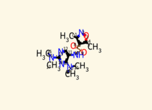 Cc1noc(C)c1S(=O)(=O)Nc1cnc(N(C)C)nc1N(C)C